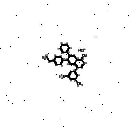 Cc1cc(C)cc(-c2cnc(O)c3cc(-c4ccccc4)c(-c4ccc(CN)cc4)nc23)c1.Cl